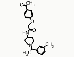 CC(=O)c1ccc(OCC(=O)NC2CCN(C(C)c3cccc(C)c3)CC2)cc1